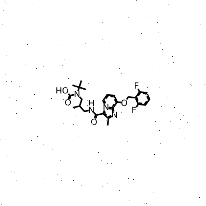 Cc1nc2c(OCc3c(F)cccc3F)cccn2c1C(=O)NCC(C)CN(C(=O)O)C(C)(C)C